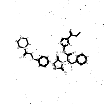 CCC(=O)c1csc(NC(=O)[C@H]([C@@H](C)c2ccccc2)N2C(=O)N[C@H](c3ccc(OCC(=O)N4CCOCC4)cc3)C2=O)n1